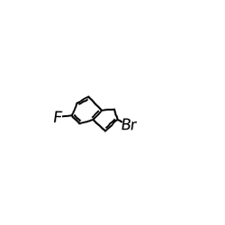 Fc1ccc2c(c1)C=C(Br)C2